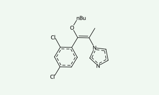 CCCCOC(=C(C)n1ccnc1)c1ccc(Cl)cc1Cl